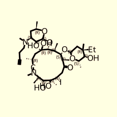 C#CCCN(C)[C@H]1C[C@@H](C)O[C@@H](O[C@@H]2[C@@H](C)[C@H](O[C@H]3C[C@@](C)(CC)[C@@H](O)[C@H](C)O3)[C@@H](C)C(=O)C[C@H](I)[C@@](C)(O)[C@H](O)[C@@H](C)N(C)C[C@H](C)C[C@@]2(C)O)[C@@H]1O